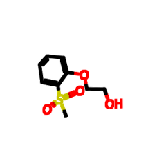 CS(=O)(=O)c1ccccc1OCCO